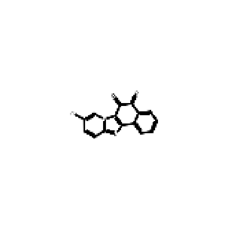 O=C1C(=O)c2c(nc3ccc(Cl)cn23)-c2ccccc21